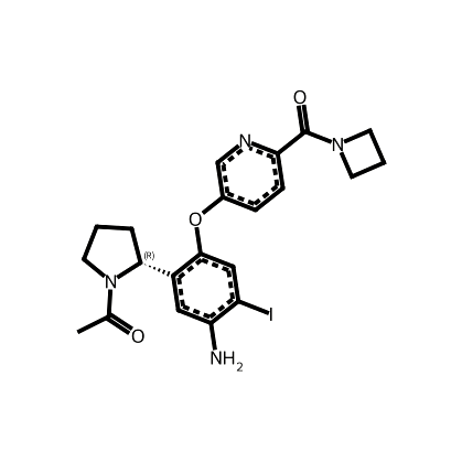 CC(=O)N1CCC[C@@H]1c1cc(N)c(I)cc1Oc1ccc(C(=O)N2CCC2)nc1